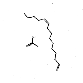 CC(=O)O.CCCC/C=C\CCCCCCCC=O